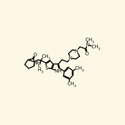 Cc1cc(C)cc(-c2[nH]c3sc(C(C)(C)CC4C5CCC4C(=O)N5)cc3c2CCN2CCN(CC(=O)N(C)C)CC2)c1